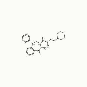 CN1C(=O)[C@H](NC(=O)CCC2CCCCC2)C[C@@H](c2ccccc2)c2ccccc21